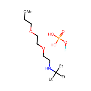 CCC(CC)(CC)NCCOCCOCCOC.O=P(O)(O)OF